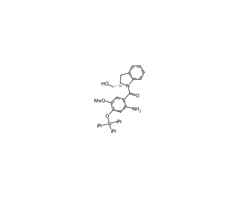 COc1cc(C(=O)N2c3ccccc3C[C@H]2CO)c(N)cc1O[Si](C(C)C)(C(C)C)C(C)C